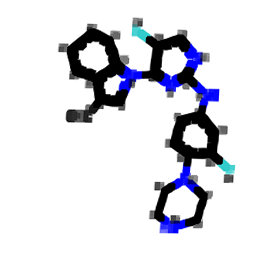 O=Cc1cn(-c2nc(Nc3ccc(N4CCNCC4)c(F)c3)ncc2F)c2ccccc12